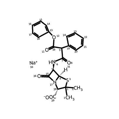 CC1(C)S[C@@H]2[C@H](NC(=O)C(C(=O)Oc3ccccc3)c3ccccc3)C(=O)N2[C@H]1C(=O)[O-].[Na+]